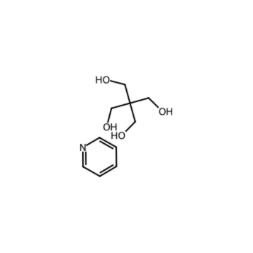 OCC(CO)(CO)CO.c1ccncc1